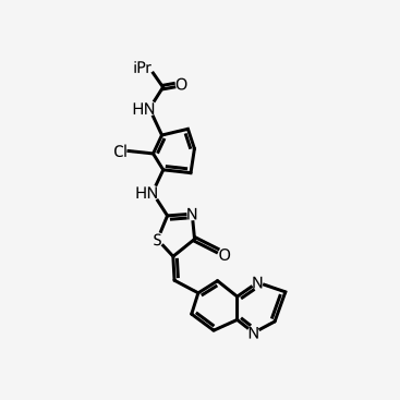 CC(C)C(=O)Nc1cccc(NC2=NC(=O)C(=Cc3ccc4nccnc4c3)S2)c1Cl